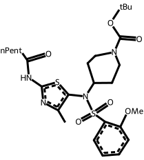 CCCCCC(=O)Nc1nc(C)c(N(C2CCN(C(=O)OC(C)(C)C)CC2)S(=O)(=O)c2ccccc2OC)s1